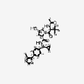 CC(=O)NC(C(=O)N1C[C@H](O)C[C@H]1C(=O)NN(c1ccc(-c2scnc2C)cc1)C1CC1)C(C)(C)C